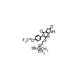 CC(C)(C)[Si](C)(C)OCCSc1nc2c(c(=O)n1-c1ccc(OCC(F)(F)F)cc1)CC(=O)N2